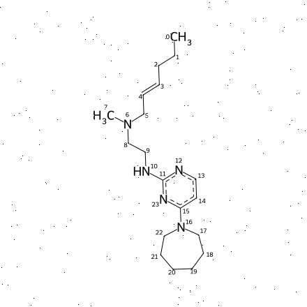 CCCC=CCN(C)CCNc1nccc(N2CCCCCC2)n1